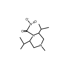 CC(C)C1CN(C)CC(C(C)C)N1C(=O)[N+](=O)[O-]